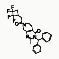 Cc1nc2c(c(=O)n1C(c1ccccc1)c1ccccc1)CCN(C(=O)CC1CC(F)(F)C1(F)F)C2